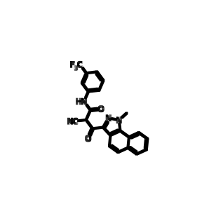 Cn1nc(C(=O)C(C#N)C(=O)Nc2cccc(C(F)(F)F)c2)c2ccc3ccccc3c21